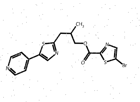 CC(COC(=O)c1ncc(Br)s1)Cc1ncc(-c2ccncc2)s1